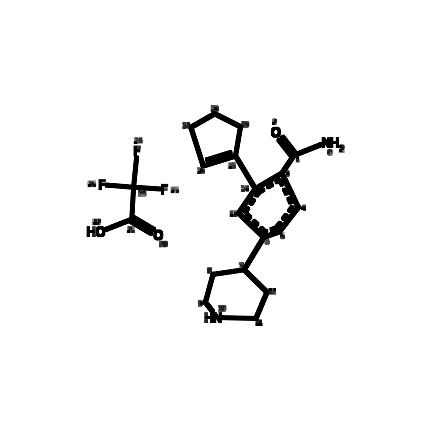 NC(=O)c1ccc(C2CCNCC2)cc1C1=CCCC1.O=C(O)C(F)(F)F